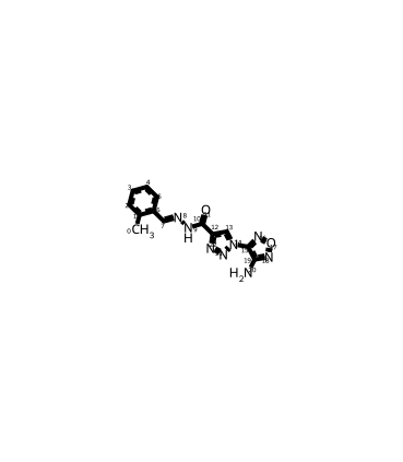 Cc1ccccc1C=NNC(=O)c1cn(-c2nonc2N)nn1